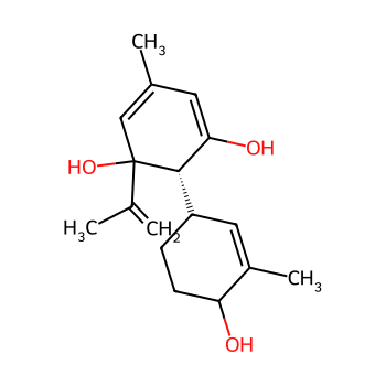 C=C(C)C1(O)C=C(C)C=C(O)[C@@H]1C1C=C(C)C(O)CC1